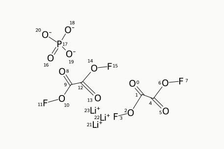 O=C(OF)C(=O)OF.O=C(OF)C(=O)OF.O=P([O-])([O-])[O-].[Li+].[Li+].[Li+]